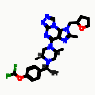 Cc1nc2c(N3C[C@@H](C)N([C@H](c4ccc(OC(F)F)cc4)C(C)C)C[C@@H]3C)nc3nncn3c2n1CC1CCCO1